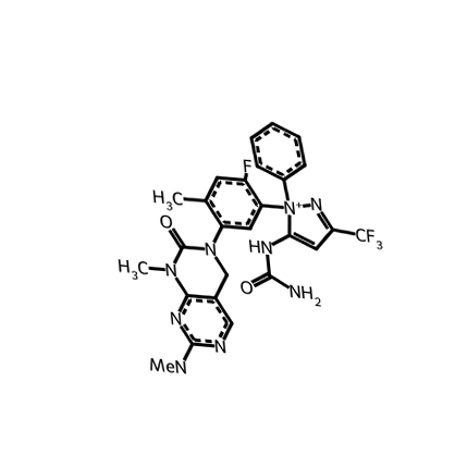 CNc1ncc2c(n1)N(C)C(=O)N(c1cc([N+]3(c4ccccc4)N=C(C(F)(F)F)C=C3NC(N)=O)c(F)cc1C)C2